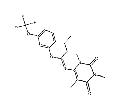 CCC/C(=N\c1c(C)c(=O)n(C)c(=O)n1C)Oc1cccc(OC(F)(F)F)c1